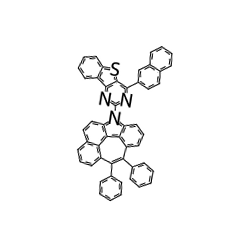 c1ccc(C2=C(c3ccccc3)c3cccc4c3c3c5c2cccc5ccc3n4-c2nc(-c3ccc4ccccc4c3)c3sc4ccccc4c3n2)cc1